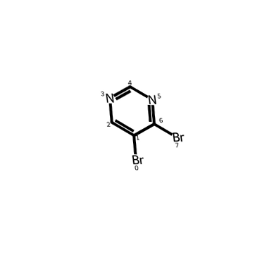 Brc1cncnc1Br